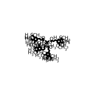 CC(C)(C)c1cc(CCC(=O)OCC(COC(=O)CCc2cc(C(C)(C)C)c(C(=O)O)c(C(C)(C)C)c2)(COC(=O)CCc2cc(C(C)(C)C)c(C(=O)O)c(C(C)(C)C)c2)COC(=O)CCc2cc(C(C)(C)C)c(C(=O)O)c(C(C)(C)C)c2)cc(C(C)(C)C)c1C(=O)O